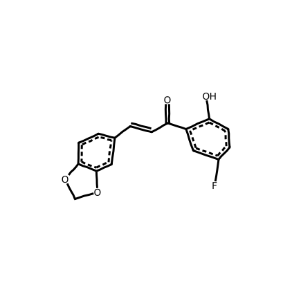 O=C(C=Cc1ccc2c(c1)OCO2)c1cc(F)ccc1O